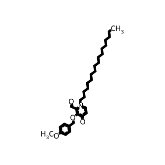 CCCCCCCCCCCCCCCCCCn1ccc(=O)c(OCc2ccc(OC)cc2)c1C=O